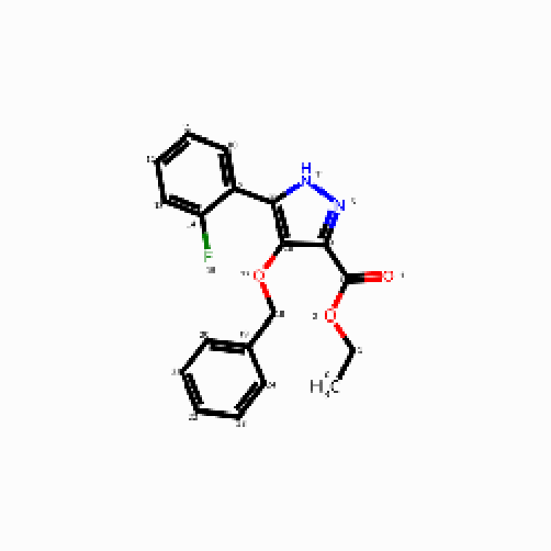 CCOC(=O)c1n[nH]c(-c2ccccc2F)c1OCc1ccccc1